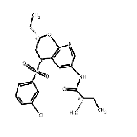 CC[C@H]1CN(S(=O)(=O)c2cccc(Cl)c2)c2cc(NC(=O)[C@@H](C)CC)cnc2O1